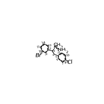 CN(N)C(Cc1ccc(Cl)cc1)c1cccc(Br)c1